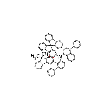 CC1(C)c2ccccc2-c2cc(-c3c(-c4ccccc4)cccc3N(c3ccc4c(c3)C3(c5ccccc5-c5ccccc53)c3ccccc3-4)c3ccc(-c4ccccc4)c4ccccc34)ccc21